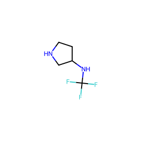 FC(F)(F)NC1CCNC1